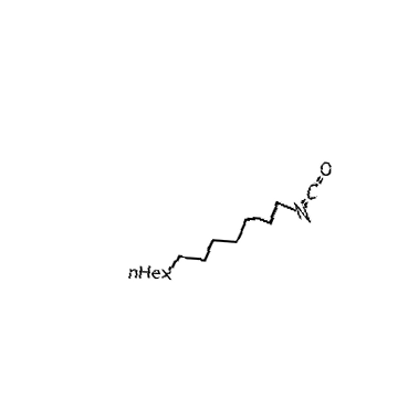 [CH2]CCCCCCCCCCCCN=C=O